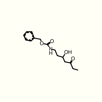 CCC(=O)CC(O)CCNC(=O)OCc1ccccc1